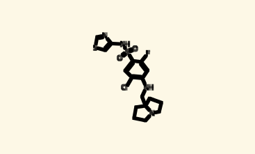 O=S(=O)(Nc1cscn1)c1cc(Cl)c(NCC23CCCN2CCC3)cc1F